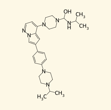 CC(C)NC(O)N1CCN(c2ccnn3cc(-c4ccc(N5CCN(C(C)C)CC5)cc4)cc23)CC1